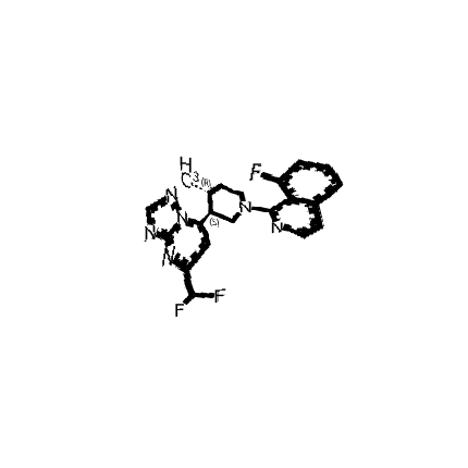 C[C@@H]1CCN(c2nccc3cccc(F)c23)C[C@H]1c1cc(C(F)F)nc2ncnn12